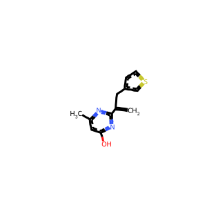 C=C(Cc1ccsc1)c1nc(C)cc(O)n1